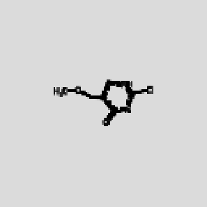 COCc1c[nH]c(Cl)nc1=O